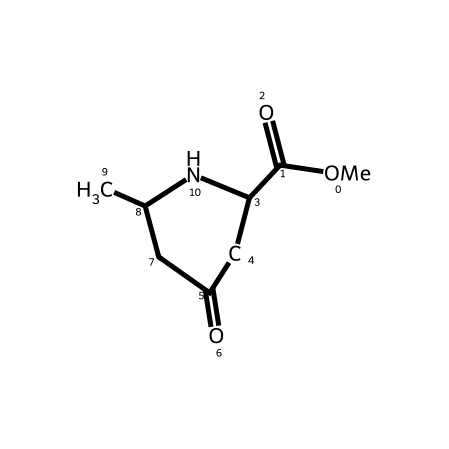 COC(=O)C1CC(=O)CC(C)N1